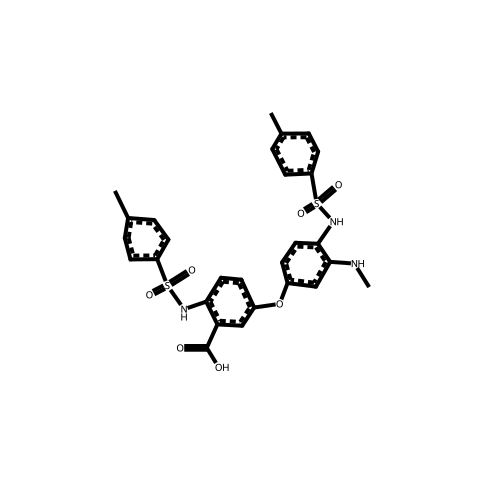 CNc1cc(Oc2ccc(NS(=O)(=O)c3ccc(C)cc3)c(C(=O)O)c2)ccc1NS(=O)(=O)c1ccc(C)cc1